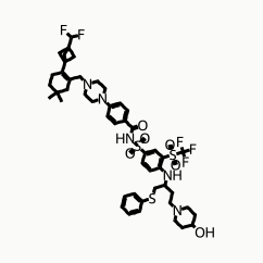 CC1(C)CCC(C23CC(C(F)F)(C2)C3)=C(CN2CCN(c3ccc(C(=O)NS(=O)(=O)c4ccc(NC(CCN5CCC(O)CC5)CSc5ccccc5)c(S(=O)(=O)C(F)(F)F)c4)cc3)CC2)C1